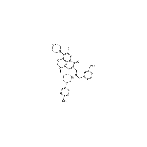 COc1cc(CN(Cc2cn3c4c(c(N5CCOCC5)c(F)cc4c2=O)OC[C@@H]3C)[C@H]2CCCN(c3ccc(N)nc3)C2)ccn1